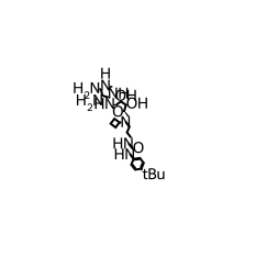 CC(C)(C)c1ccc(NC(=O)NCCCN(C[C@H]2O[C@@H](NC3NCNC(N)C3N)[C@H](O)[C@@H]2O)C2CCC2)cc1